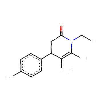 CC1=C(C(=O)O)C(c2ccc(C(F)(F)F)cc2)CC(=O)N1CC(C)C